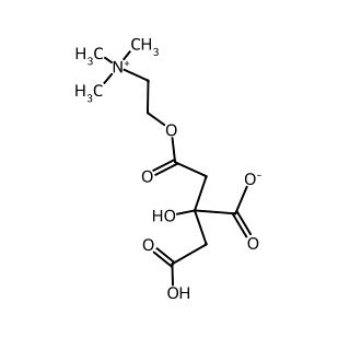 C[N+](C)(C)CCOC(=O)CC(O)(CC(=O)O)C(=O)[O-]